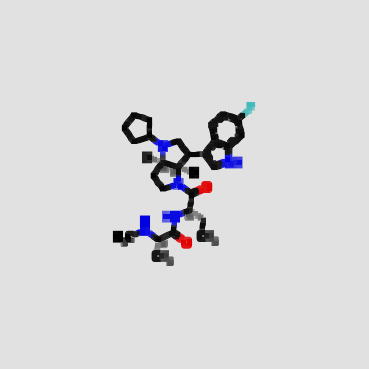 CC[C@H](NC(=O)[C@H](C)NC)C(=O)N1CC[C@@H]2[C@H]1C(c1c[nH]c3cc(F)ccc13)CN2C1CCCC1